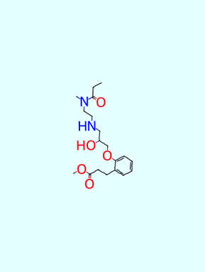 CCC(=O)N(C)CCNCC(O)COc1ccccc1CCC(=O)OC